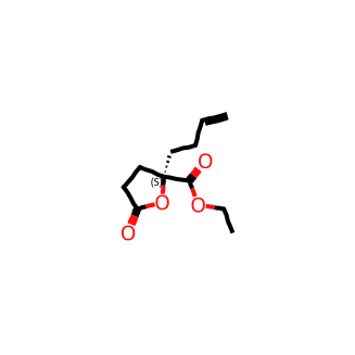 C=CCC[C@@]1(C(=O)OCC)CCC(=O)O1